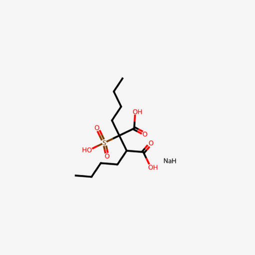 CCCCC(C(=O)O)C(CCCC)(C(=O)O)S(=O)(=O)O.[NaH]